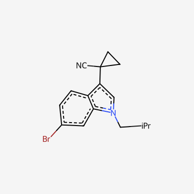 CC(C)Cn1cc(C2(C#N)CC2)c2ccc(Br)cc21